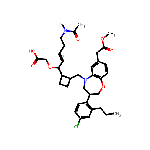 CCCc1cc(Cl)ccc1C1COc2ccc(CC(=O)OC)cc2N(CC2CCC2C(/C=C/CCN(C)C(C)=O)OCC(=O)O)C1